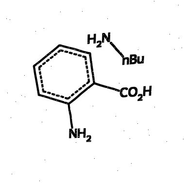 CCCCN.Nc1ccccc1C(=O)O